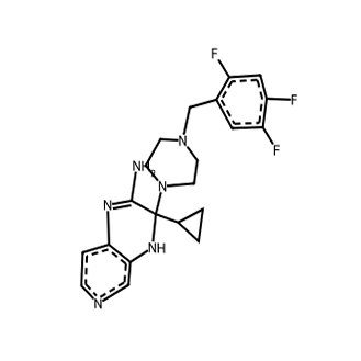 NC1=Nc2ccncc2NC1(C1CC1)N1CCN(Cc2cc(F)c(F)cc2F)CC1